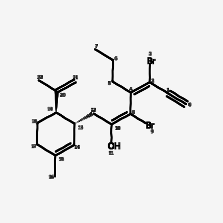 C#C/C(Br)=C(CCC)\C(Br)=C(\O)C[C@@H]1C=C(C)CC[C@H]1C(=C)C